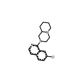 Clc1ccc2ccnc(N3CCN4CCCCC4C3)c2c1